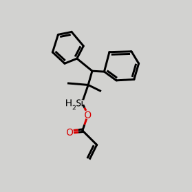 C=CC(=O)O[SiH2]C(C)(C)C(c1ccccc1)c1ccccc1